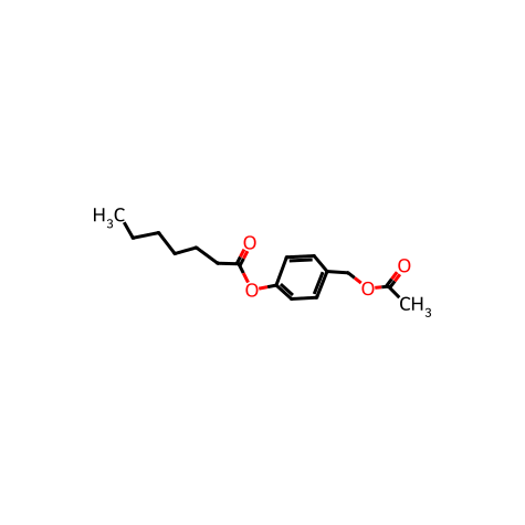 CCCCCCC(=O)Oc1ccc(COC(C)=O)cc1